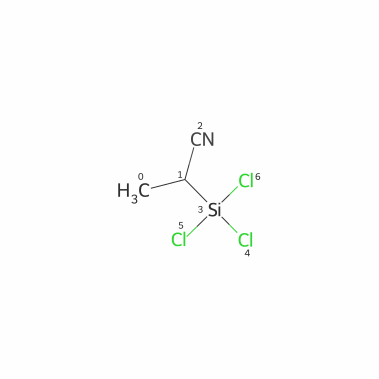 CC(C#N)[Si](Cl)(Cl)Cl